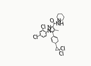 Cc1c(C(=O)NN2CCCCC2)nn(-c2ccc(Cl)cc2Cl)c1C1=CCC(C2CC2(Cl)Cl)C=C1